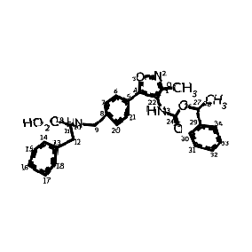 Cc1noc(-c2ccc(CNC(Cc3ccccc3)C(=O)O)cc2)c1NC(=O)OC(C)c1ccccc1